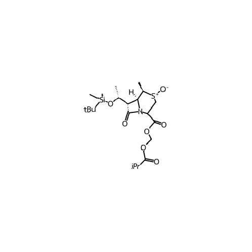 CC(C)C(=O)OCOC(=O)C1C[S+]([O-])[C@H](C)[C@@H]2[C@@H]([C@@H](C)O[Si](C)(C)C(C)(C)C)C(=O)N12